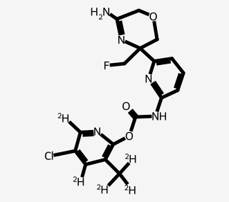 [2H]c1nc(OC(=O)Nc2cccc(C3(CF)COCC(N)=N3)n2)c(C([2H])([2H])[2H])c([2H])c1Cl